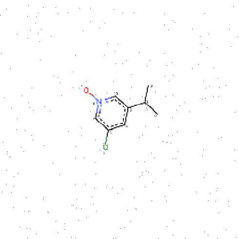 CC(C)c1cc(Cl)c[n+]([O-])c1